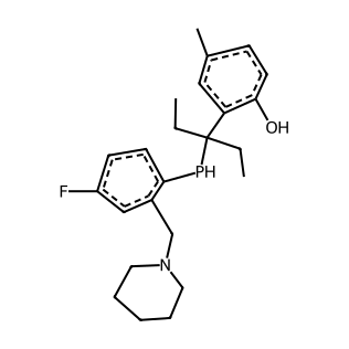 CCC(CC)(Pc1ccc(F)cc1CN1CCCCC1)c1cc(C)ccc1O